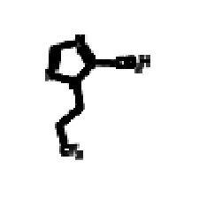 O=C(O)c1ncnn1CCC(F)(F)F